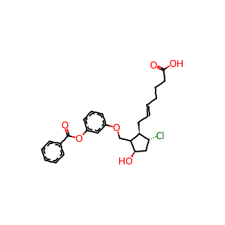 O=C(O)CCCC=CC[C@@H]1C(COc2cccc(OC(=O)c3ccccc3)c2)[C@H](O)C[C@H]1Cl